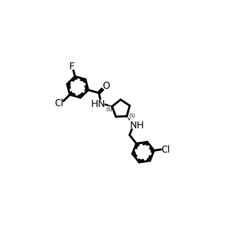 O=C(N[C@H]1CC[C@H](NCc2cccc(Cl)c2)C1)c1cc(F)cc(Cl)c1